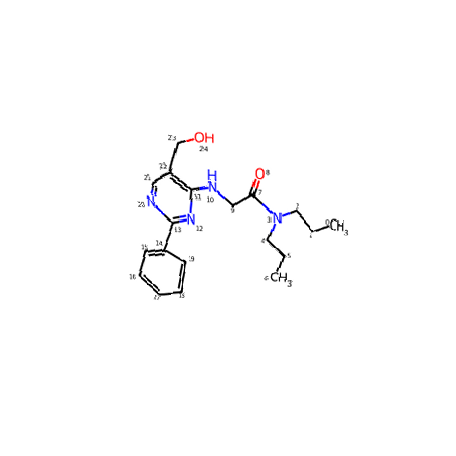 CCCN(CCC)C(=O)CNc1nc(-c2ccccc2)ncc1CO